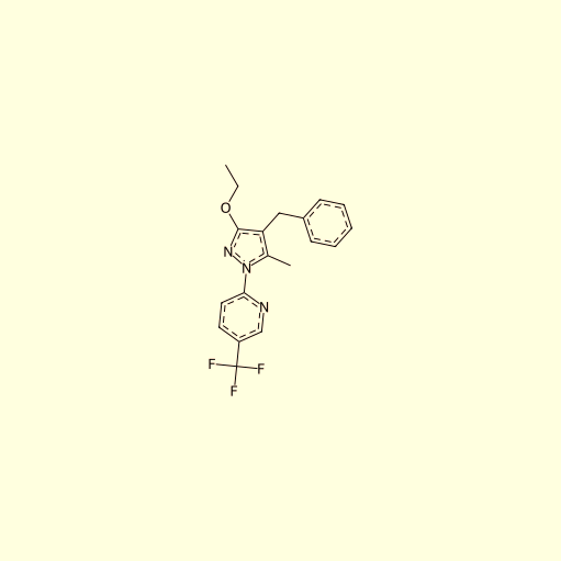 CCOc1nn(-c2ccc(C(F)(F)F)cn2)c(C)c1Cc1ccccc1